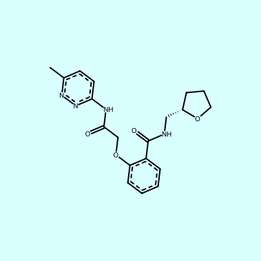 Cc1ccc(NC(=O)COc2ccccc2C(=O)NC[C@@H]2CCCO2)nn1